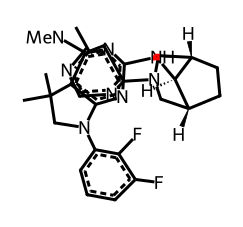 CNc1nc(N[C@@H]2[C@@H]3CC[C@H]2CN(c2cc(C)ncn2)C3)nc2c1C(C)(C)CN2c1cccc(F)c1F